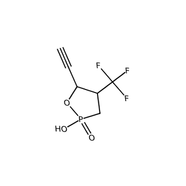 C#CC1OP(=O)(O)CC1C(F)(F)F